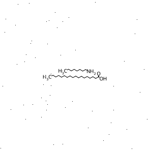 CCCCCCCCCCCCCCCCCC(=O)O.CCCCCCCCN